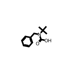 CC(C)(C)N(Cc1ccccc1)C(=O)O